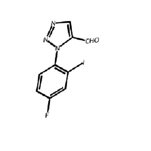 O=Cc1cnnn1-c1ccc(F)cc1I